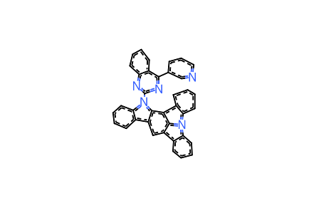 c1cncc(-c2nc(-n3c4ccccc4c4cc5c6ccccc6n6c7ccccc7c(c43)c56)nc3ccccc23)c1